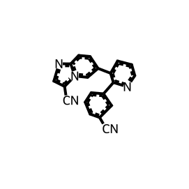 N#Cc1cccc(-c2ncccc2-c2ccc3ncc(C#N)n3c2)c1